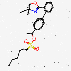 CCCCCS(=O)(=O)OC(C)c1ccc(-c2ccccc2C2=NC(C)(C)CO2)cc1